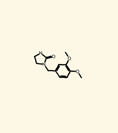 COc1ccc(CN2CC[N]C2=O)cc1OC